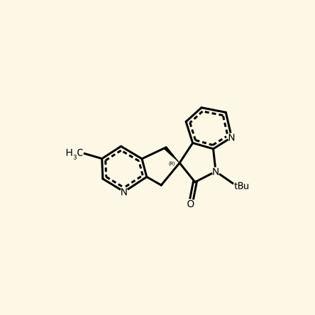 Cc1cnc2c(c1)C[C@]1(C2)C(=O)N(C(C)(C)C)c2ncccc21